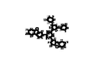 c1ccc(-c2cc(-c3ccccc3)cc(-c3nc(-c4ccc5c(c4)oc4ccccc45)nc(-c4ccc5oc6ccccc6c5c4)n3)c2)cc1